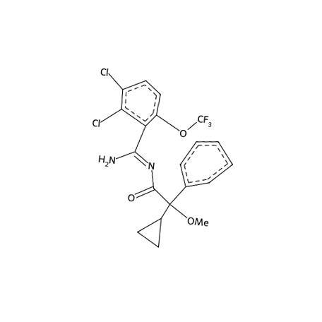 COC(C(=O)N=C(N)c1c(OC(F)(F)F)ccc(Cl)c1Cl)(c1ccccc1)C1CC1